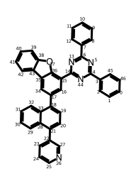 c1ccc(-c2nc(-c3ccccc3)nc(-c3cc(-c4ccc(-c5cccnc5)c5ccccc45)cc4c3oc3ccccc34)n2)cc1